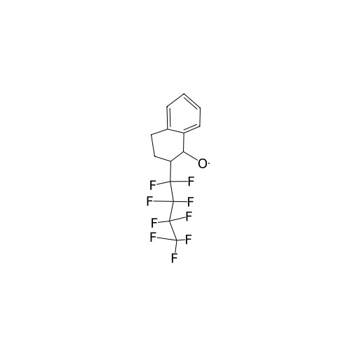 [O]C1c2ccccc2CCC1C(F)(F)C(F)(F)C(F)(F)C(F)(F)F